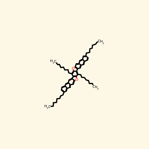 CCCCCCCCc1ccc2cc3cc4c(cc3cc2c1)oc1c(CCCCCCCC)c2c(oc3cc5cc6cc(CCCCCCCC)ccc6cc5cc32)c(CCCCCCCC)c14